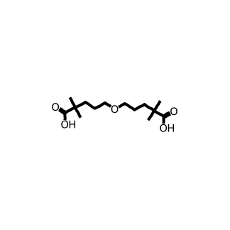 CC(C)(CCCOCCCC(C)(C)C(=O)O)C(=O)O